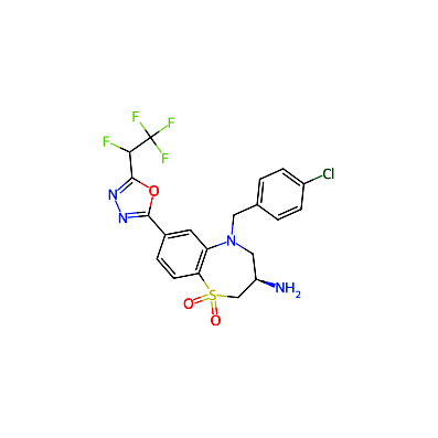 N[C@@H]1CN(Cc2ccc(Cl)cc2)c2cc(-c3nnc(C(F)C(F)(F)F)o3)ccc2S(=O)(=O)C1